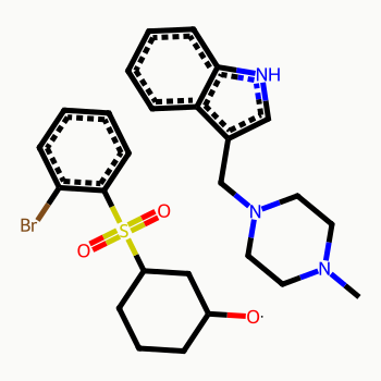 CN1CCN(Cc2c[nH]c3ccccc23)CC1.[O]C1CCCC(S(=O)(=O)c2ccccc2Br)C1